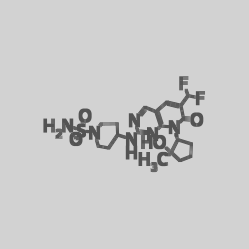 C[C@]1(O)CCC[C@@H]1n1c(=O)c(C(F)F)cc2cnc(NC3CCN(S(N)(=O)=O)CC3)nc21